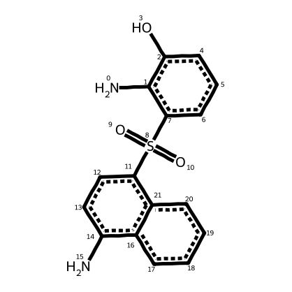 Nc1c(O)cccc1S(=O)(=O)c1ccc(N)c2ccccc12